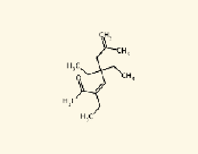 C=C(C)CC(C=C(CC)C(C)=O)(CC)CC